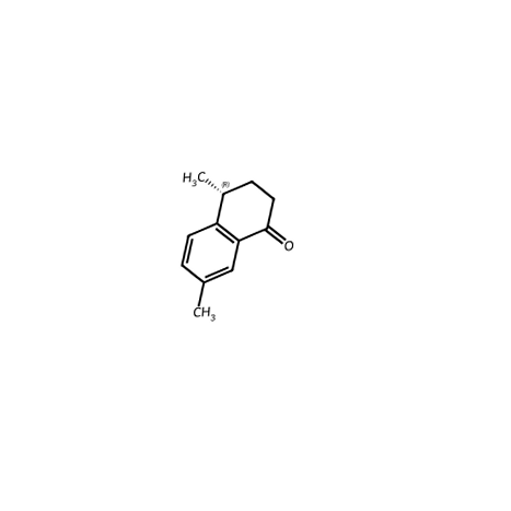 Cc1ccc2c(c1)C(=O)CC[C@H]2C